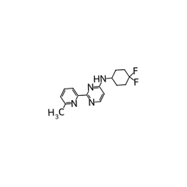 Cc1cccc(-c2nccc(NC3CCC(F)(F)CC3)n2)n1